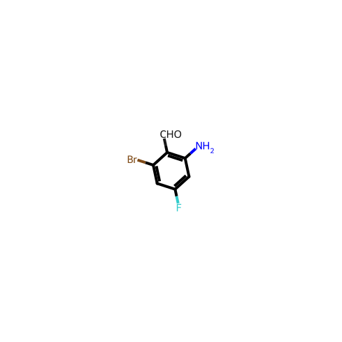 Nc1cc(F)cc(Br)c1C=O